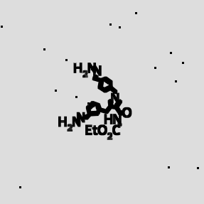 CCOC(=O)CNC(=O)c1cn(Cc2ccc(C=NN)cc2)cc1Cc1cccc(C=NN)c1